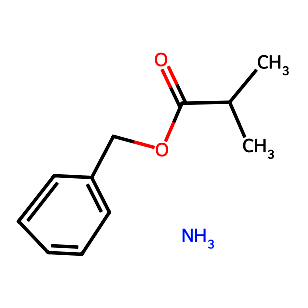 CC(C)C(=O)OCc1ccccc1.N